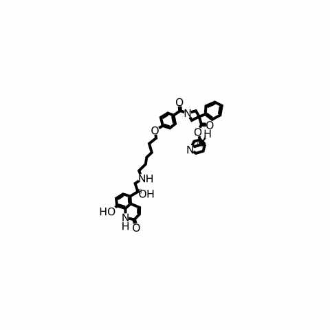 O=C(c1ccc(OCCCCCCNC[C@H](O)c2ccc(O)c3[nH]c(=O)ccc23)cc1)N1CC(C(=O)O[C@H]2CN3CCC2CC3)(c2ccccc2)C1